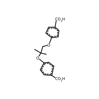 CC(C)(COc1ccc(C(=O)O)cc1)Oc1ccc(C(=O)O)cc1